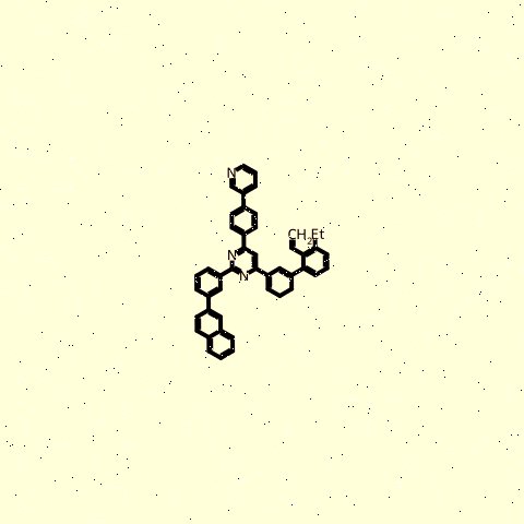 C=Cc1c(CC)cccc1C1=CC(c2cc(-c3ccc(-c4cccnc4)cc3)nc(-c3cccc(-c4ccc5ccccc5c4)c3)n2)=CCC1